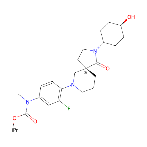 CC(C)OC(=O)N(C)c1ccc(N2CCC[C@]3(CCN([C@H]4CC[C@H](O)CC4)C3=O)C2)c(F)c1